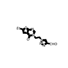 CCc1cc2c(=O)n(CCn3cc(C=O)nn3)cnc2s1